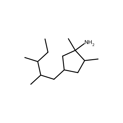 CCC(C)C(C)CC1CC(C)C(C)(N)C1